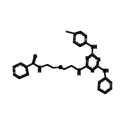 Cc1ccc(Nc2nc(NCCOCCNC(=O)c3ccccc3)nc(Nc3ccccc3)n2)cc1